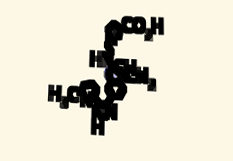 C=Nc1ccc(-c2nc[nH]c2-c2cccc(C)n2)cc1/C=C(\C)NCCN1CCC(C(=O)O)C1